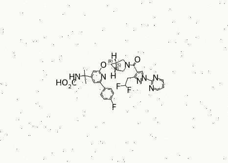 CC(C)(NC(=O)O)c1cc(O[C@@H]2[C@@H]3CN(C(=O)c4cn(-c5ncccn5)nc4CC(F)F)C[C@@H]32)nc(-c2ccc(F)cc2)c1